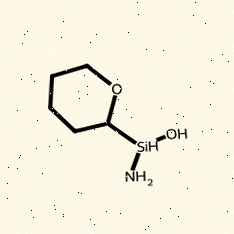 N[SiH](O)C1CCCCO1